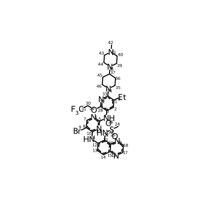 CCc1cc(Nc2ncc(Br)c(Nc3ccc4nccnc4c3NS(C)(=O)=O)n2)c(OCC(F)(F)F)nc1N1CCC(N2CCN(C)CC2)CC1